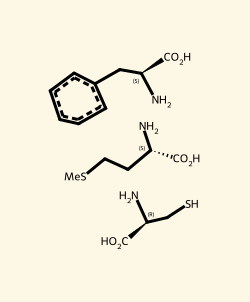 CSCC[C@H](N)C(=O)O.N[C@@H](CS)C(=O)O.N[C@@H](Cc1ccccc1)C(=O)O